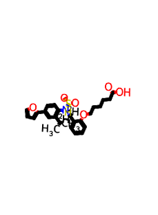 [2H]C([2H])(c1ccccc1OCCCCCC(=O)O)N(c1ccc(-c2ccco2)cc1C(C)C)[SH](=O)=O